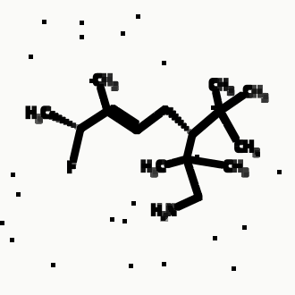 C/C(=C\C[C@H](C(C)(C)C)C(C)(C)CN)[C@@H](C)F